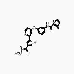 CC(=O)ON(C)C(=O)c1c[nH]c(-c2cc(Oc3cccc(NC(=O)c4occc4C)c3)ccn2)c1